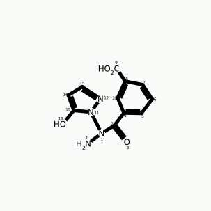 NN(C(=O)c1cccc(C(=O)O)c1)n1nccc1O